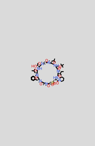 CCC(C)[C@H]1C(=O)N[C@H](C(=O)N2CCCCC2)CS(=O)(=O)CC(=O)N(C)[C@@H](C)C(=O)N(C)[C@@H](Cc2ccccc2)C(=O)N(C)[C@@H](CC(C)C)C(=O)N[C@@H](C(C)O)C(=O)N(C)CC(=O)N(C)[C@@H](CC(C)C)C(=O)N[C@@H](COC(C)(C)C)C(=O)N1C